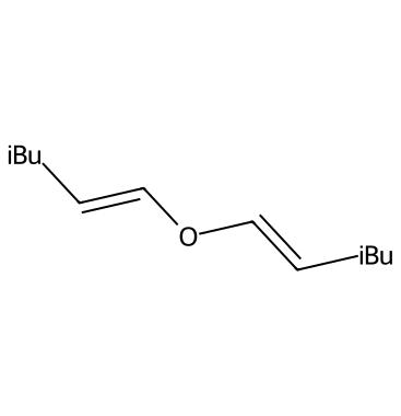 CCC(C)C=COC=CC(C)CC